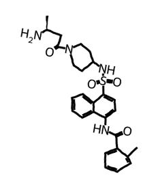 Cc1ccccc1C(=O)Nc1ccc(S(=O)(=O)NC2CCN(C(=O)C[C@H](C)N)CC2)c2ccccc12